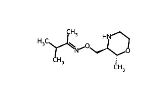 C/C(=N\OC[C@H]1NCCO[C@@H]1C)C(C)C